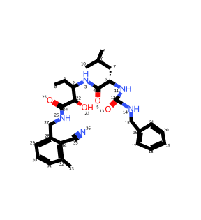 CCC(NC(=O)[C@H](CC(C)C)NC(=O)NCc1ccccc1)C(O)C(=O)NCc1cccc(C)c1C#N